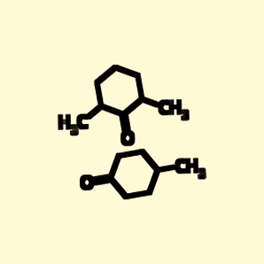 CC1CCC(=O)CC1.CC1CCCC(C)C1=O